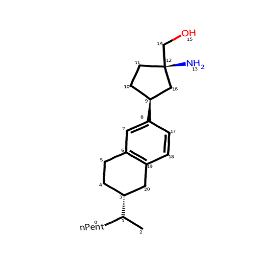 CCCCCC(C)[C@@H]1CCc2cc([C@H]3CC[C@](N)(CO)C3)ccc2C1